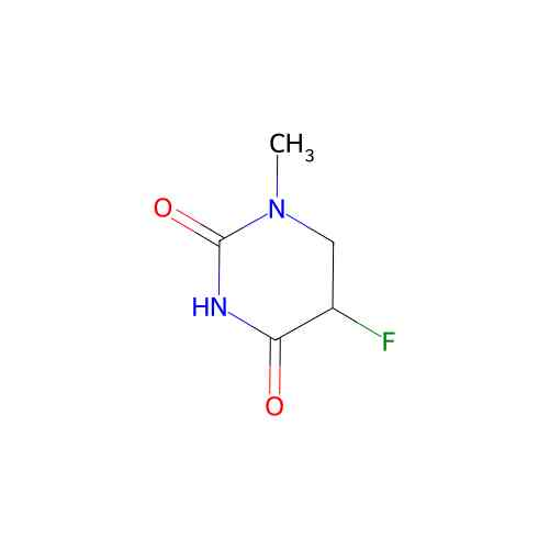 CN1CC(F)C(=O)NC1=O